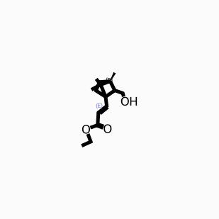 CCOC(=O)/C=C/C12CC[C@](C)(C1CO)C2(C)C